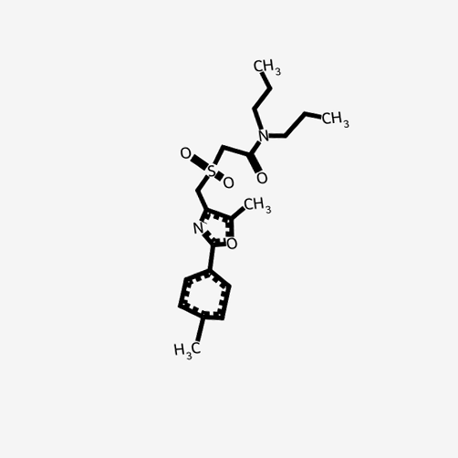 CCCN(CCC)C(=O)CS(=O)(=O)Cc1nc(-c2ccc(C)cc2)oc1C